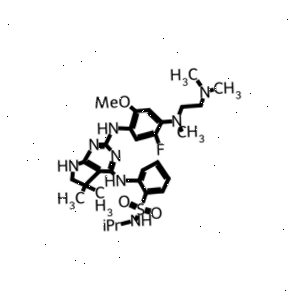 COc1cc(N(C)CCN(C)C)c(F)cc1Nc1nc2c(c(Nc3ccccc3S(=O)(=O)NC(C)C)n1)C(C)(C)CN2